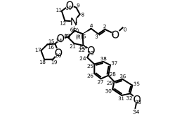 COC=CC[C@@H]1[C@@H](N2CCOCC2)[C@H](OC2CCCCO2)C[C@@H]1OCc1ccc(-c2ccc(OC)cc2)cc1